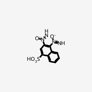 N=[N+]([O-])c1cc(S(=O)(=O)O)c2ccccc2c1[N+](=N)[O-]